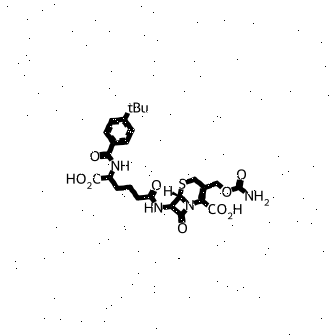 CC(C)(C)c1ccc(C(=O)NC(CCCC(=O)NC2C(=O)N3C(C(=O)O)=C(COC(N)=O)CS[C@@H]23)C(=O)O)cc1